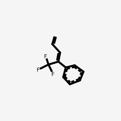 C=CC=C(c1ccccc1)C(F)(F)F